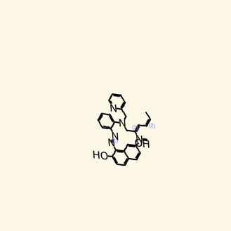 C=N/C(=C\C=C/C)CN(Cc1ccccn1)c1ccccc1/N=N/c1c(O)ccc2ccc(O)cc12